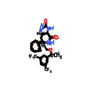 C[C@@H](OC[C@@]1(c2ccccc2)C[C@H]2NC(=O)NC2C(=O)N1)c1cc(C(F)(F)F)cc(C(F)(F)F)c1